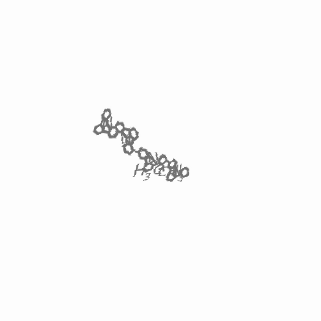 CC1(C)c2c(ccc3c2c2cccc4c5ccccc5n3c42)-c2ccc3c(c21)c1cccc2c4cc(-c5cccc6c5c5cccc7c8ccc9c(ccc%10c%11cccc%12c%13ccccc%13n(c%12%11)c%109)c8n6c75)ccc4n3c21